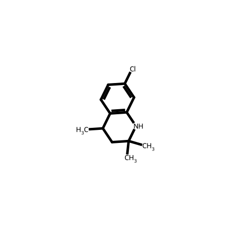 CC1CC(C)(C)Nc2cc(Cl)ccc21